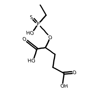 CCP(O)(=S)OC(CCC(=O)O)C(=O)O